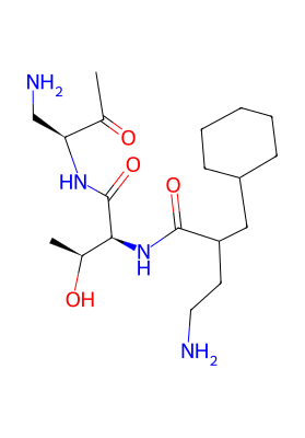 CC(=O)[C@H](CN)NC(=O)[C@@H](NC(=O)C(CCN)CC1CCCCC1)[C@H](C)O